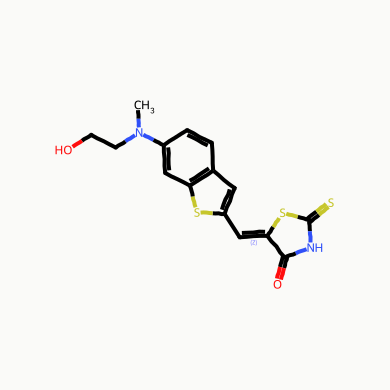 CN(CCO)c1ccc2cc(/C=C3\SC(=S)NC3=O)sc2c1